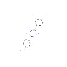 COc1ccc(-c2cnc(-c3ccc(OC)c(OC)c3)nn2)cc1OC